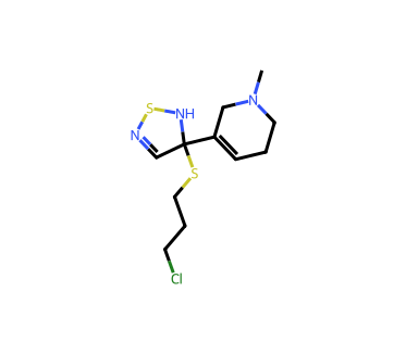 CN1CCC=C(C2(SCCCCl)C=NSN2)C1